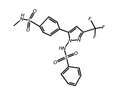 CNS(=O)(=O)c1ccc(-c2cc(C(F)(F)F)nn2NS(=O)(=O)c2ccccc2)cc1